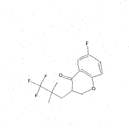 CC(C)(CC1COc2ccc(F)cc2C1=O)C(F)(F)F